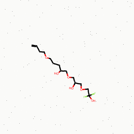 C=CCCOCCCC(O)COCC(O)COCC(O)(F)F